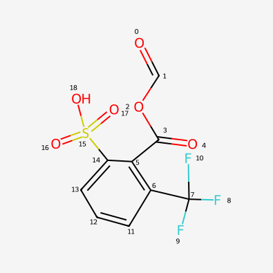 O=COC(=O)c1c(C(F)(F)F)cccc1S(=O)(=O)O